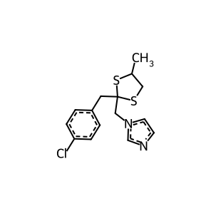 CC1CSC(Cc2ccc(Cl)cc2)(Cn2ccnc2)S1